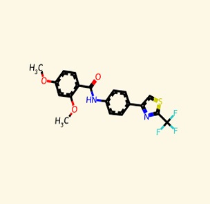 COc1ccc(C(=O)Nc2ccc(-c3csc(C(F)(F)F)n3)cc2)c(OC)c1